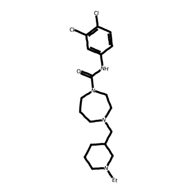 CCN1CCCC(CN2CCCN(C(=O)Nc3ccc(Cl)c(Cl)c3)CC2)C1